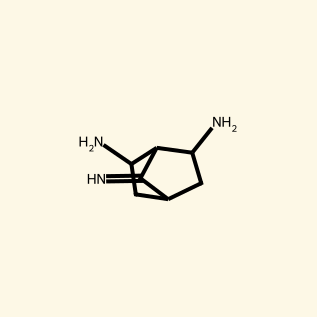 N=C1C2CC(N)C1C(N)C2